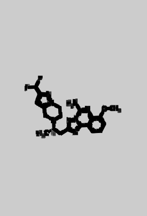 COc1cccc2c1nc(N)n1nc(C[C@H](C)N3CCn4nc(C(F)F)cc4C3)nc21